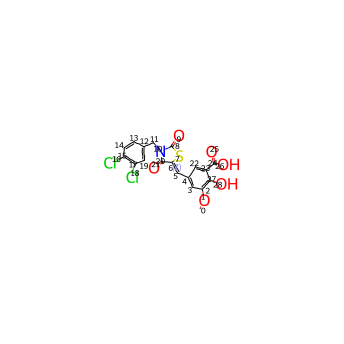 COc1cc(/C=C2\SC(=O)N(Cc3ccc(Cl)c(Cl)c3)C2=O)cc(C(=O)O)c1O